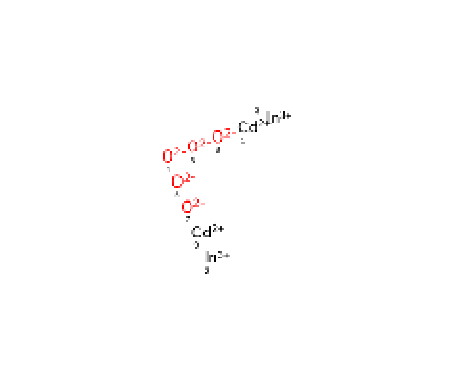 [Cd+2].[Cd+2].[In+3].[In+3].[O-2].[O-2].[O-2].[O-2].[O-2]